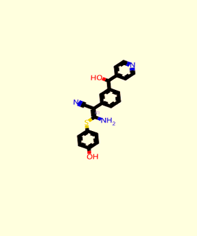 N#C/C(=C(/N)Sc1ccc(O)cc1)c1cccc(C(O)c2ccncc2)c1